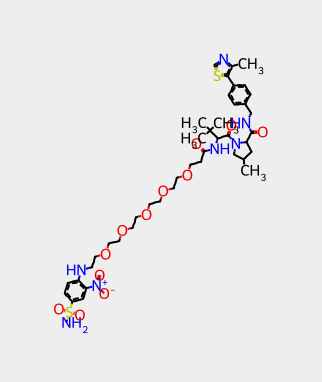 Cc1ncsc1-c1ccc(CNC(=O)C2CC(C)CN2C(=O)C(NC(=O)CCOCCOCCOCCOCCOCCNc2ccc(S(N)(=O)=O)cc2[N+](=O)[O-])C(C)(C)C)cc1